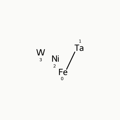 [Fe][Ta].[Ni].[W]